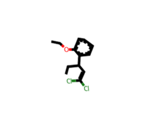 CCOc1ccccc1C(C=C(Cl)Cl)CC